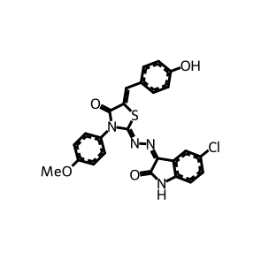 COc1ccc(N2C(=O)C(=Cc3ccc(O)cc3)SC2=NN=C2C(=O)Nc3ccc(Cl)cc32)cc1